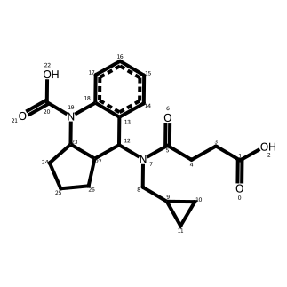 O=C(O)CCC(=O)N(CC1CC1)C1c2ccccc2N(C(=O)O)C2CCCC12